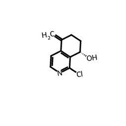 C=C1CC[C@H](O)c2c1ccnc2Cl